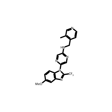 COc1ccc2c(c1)nc(C(F)(F)F)n2-c1cnc(NCc2ccncc2C)cn1